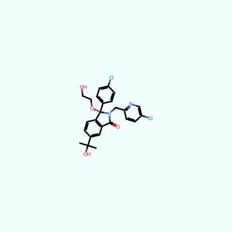 CC(C)(O)c1ccc2c(c1)C(=O)N(Cc1ccc(Cl)cn1)[C@@]2(OCCO)c1ccc(Cl)cc1